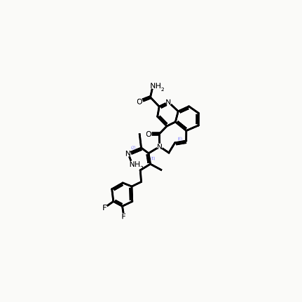 CC(=N/N)/C(=C(/C)CCc1ccc(F)c(F)c1)N1C/C=C/c2cccc3nc(C(N)=O)cc(c23)C1=O